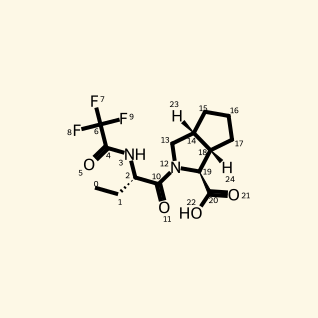 CC[C@H](NC(=O)C(F)(F)F)C(=O)N1C[C@@H]2CCC[C@@H]2[C@H]1C(=O)O